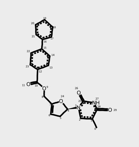 Cc1cn([C@H]2CC=C(COC(=O)c3ccc(-c4ccccc4)cc3)O2)c(=O)[nH]c1=O